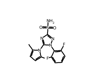 Cc1ccc(C)n1-c1nc(S(N)(=O)=O)nn1-c1c(F)cccc1F